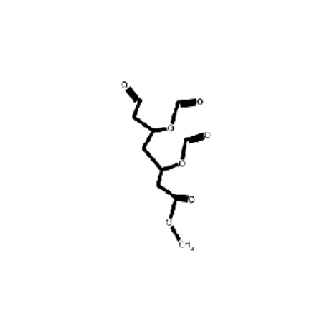 COC(=O)CC(CC(CC=O)OC=O)OC=O